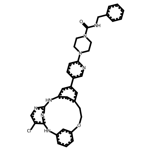 O=C(NCc1ccccc1)N1CCN(c2ccc(-c3cc4cc(c3)Nc3ncc(Cl)c(n3)Nc3cccc(c3)OCC4)cn2)CC1